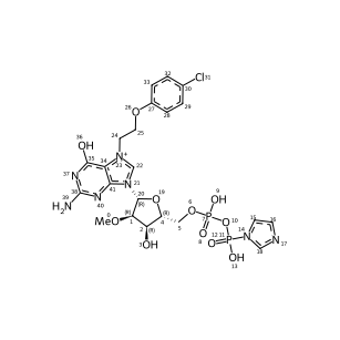 CO[C@@H]1[C@H](O)[C@@H](COP(=O)(O)OP(=O)(O)n2ccnc2)O[C@H]1n1c[n+](CCOc2ccc(Cl)cc2)c2c(O)nc(N)nc21